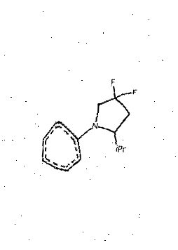 CC(C)C1CC(F)(F)CN1c1ccccc1